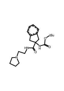 CC(C)(C)OC(=O)NC1(C(=O)NCCN2CCCC2)Cc2ccccc2C1